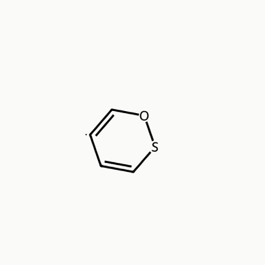 [C]1=COSC=C1